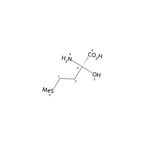 CSCC[C@@](N)(O)C(=O)O